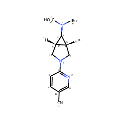 CC(C)(C)N(C(=O)O)[C@H]1[C@@H]2CN(c3ccc(C#N)cn3)C[C@@H]21